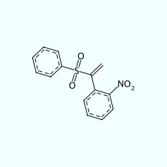 C=C(c1ccccc1[N+](=O)[O-])S(=O)(=O)c1ccccc1